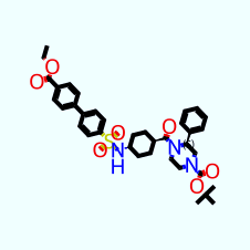 CCOC(=O)c1ccc(-c2ccc(S(=O)(=O)N[C@H]3CC[C@H](C(=O)N4CCN(C(=O)OC(C)(C)C)C[C@@H]4c4ccccc4)CC3)cc2)cc1